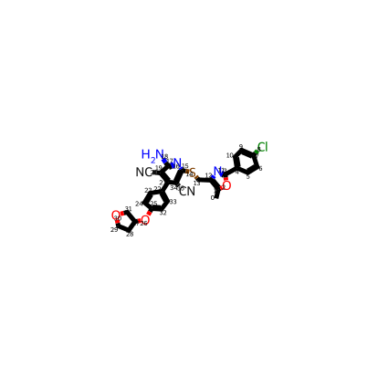 Cc1oc(-c2ccc(Cl)cc2)nc1CSc1nc(N)c(C#N)c(-c2ccc(OC3CCOC3)cc2)c1C#N